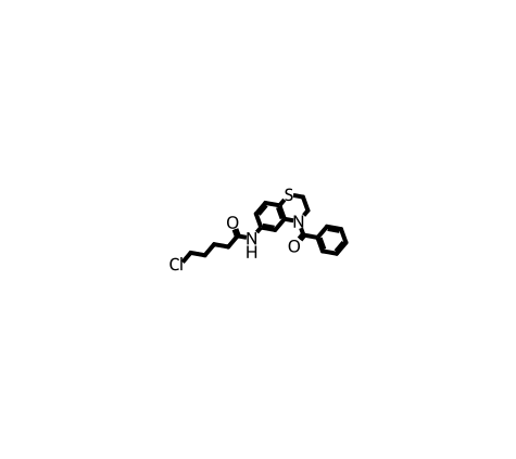 O=C(CCCCCl)Nc1ccc2c(c1)N(C(=O)c1ccccc1)CCS2